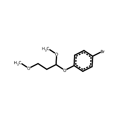 COCCC(OC)Oc1ccc(Br)cc1